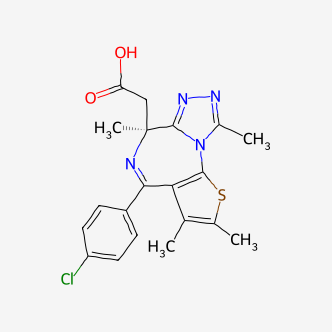 Cc1sc2c(c1C)C(c1ccc(Cl)cc1)=N[C@@](C)(CC(=O)O)c1nnc(C)n1-2